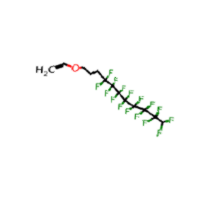 C=COCCCC(F)(F)C(F)(F)C(F)(F)C(F)(F)C(F)(F)C(F)(F)C(F)(F)C(F)F